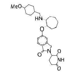 COC1CCC(CN[C@@H]2CCCCC[C@@H]2Oc2ccc3c(c2)CN(C2CCC(=O)NC2=O)C3=O)CC1